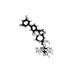 CC1(CO[Si](C)(C)C(C)(C)C)Cc2nnc(-c3ccc(-c4cc(F)cc(F)c4)cc3Cl)n2CCS1